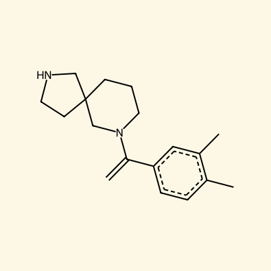 C=C(c1ccc(C)c(C)c1)N1CCCC2(CCNC2)C1